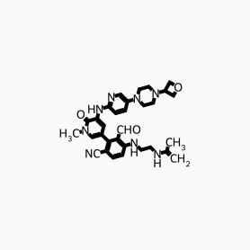 C=C(C)NCCNc1ccc(C#N)c(-c2cc(Nc3ccc(N4CCN(C5COC5)CC4)cn3)c(=O)n(C)c2)c1C=O